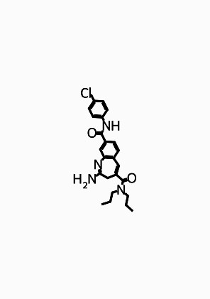 CCCN(CCC)C(=O)C1=Cc2ccc(C(=O)Nc3ccc(Cl)cc3)cc2N=C(N)C1